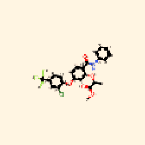 COC(=O)C(C)Oc1cc(Oc2ccc(C(F)(F)F)cc2Cl)ccc1C(=O)Nc1ccccc1